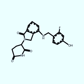 O=C1CCC(N2Cc3c(NCc4ccc(O)cc4F)cccc3C2=O)C(=O)N1